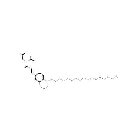 CCCCCCCCCCCCCCCCCCN1CCCc2cc(/C=C/C(=O)N(CC(=O)O)C(=S)S)ccc21